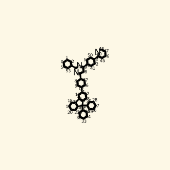 c1ccc(-c2nc(-c3ccc(-c4ccc5c(c4)-c4ccccc4C5(c4ccccc4)c4ccccc4)cc3)cc(-c3ccc(-c4ccccn4)cc3)n2)cc1